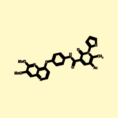 COc1cc2nccc(Oc3ccc(NC(=O)c4cc(C(C)=O)c(C)n(-c5ccco5)c4=O)cc3)c2nc1OC